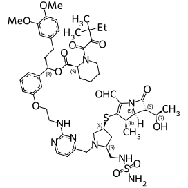 CCC(C)(C)C(=O)C(=O)N1CCCC[C@H]1C(=O)O[C@H](CCc1ccc(OC)c(OC)c1)c1cccc(OCCNc2nccc(CN3C[C@@H](SC4=C(C=O)N5C(=O)[C@H]([C@@H](C)O)[C@H]5[C@H]4C)C[C@H]3CNS(N)(=O)=O)n2)c1